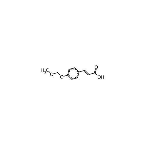 COCOc1ccc(/C=C/C(=O)O)cc1